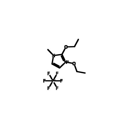 CCOc1n(C)cc[n+]1OCC.F[P-](F)(F)(F)(F)F